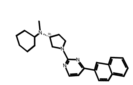 CN(C1CCCCC1)[C@@H]1CCN(c2nccc(-c3ccc4ccccc4c3)n2)C1